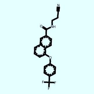 N#CCCNC(=O)c1ccc2c(Oc3ccc(C(F)(F)F)cc3)cccc2c1